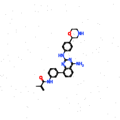 C=C(C)C(=O)Nc1cccc(-c2cccc3c(N)nc(Nc4ccc(C5CNCCO5)cc4)nc23)c1